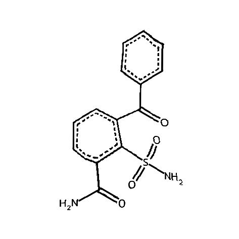 NC(=O)c1cccc(C(=O)c2ccccc2)c1S(N)(=O)=O